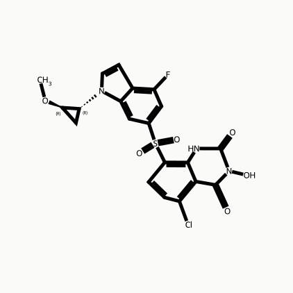 CO[C@@H]1C[C@H]1n1ccc2c(F)cc(S(=O)(=O)c3ccc(Cl)c4c(=O)n(O)c(=O)[nH]c34)cc21